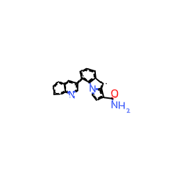 NC(=O)c1ccn2c1[CH]c1cccc(-c3cnc4ccccc4c3)c1-2